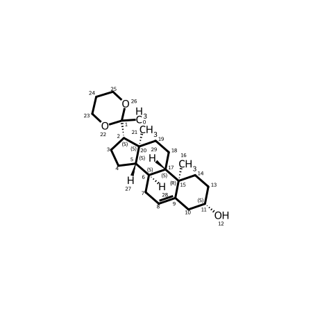 CC1([C@H]2CC[C@H]3[C@@H]4CC=C5C[C@@H](O)CC[C@]5(C)[C@H]4CC[C@]23C)OCCCO1